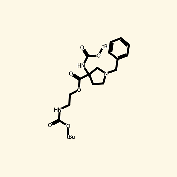 CC(C)(C)OC(=O)NCCOC(=O)C1(NC(=O)OC(C)(C)C)CCN(Cc2ccccc2)C1